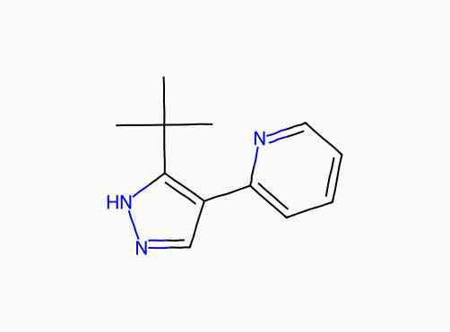 CC(C)(C)c1[nH]ncc1-c1ccccn1